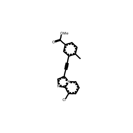 COC(=O)c1ccc(C)c(C#Cc2cnc3c(Cl)cccn23)c1